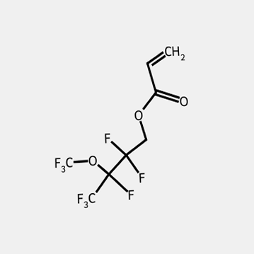 C=CC(=O)OCC(F)(F)C(F)(OC(F)(F)F)C(F)(F)F